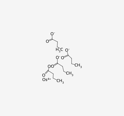 CCCC(=O)[O-].CCCC(=O)[O-].CCCC(=O)[O-].CCCC(=O)[O-].[Os+4]